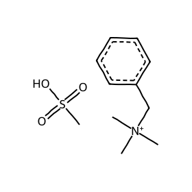 CS(=O)(=O)O.C[N+](C)(C)Cc1ccccc1